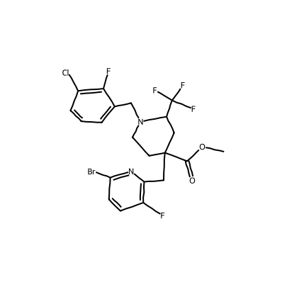 COC(=O)C1(Cc2nc(Br)ccc2F)CCN(Cc2cccc(Cl)c2F)C(C(F)(F)F)C1